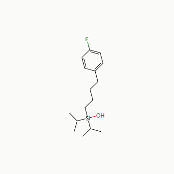 CC(C)[Si](O)(CCCCc1ccc(F)cc1)C(C)C